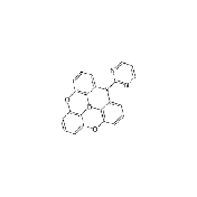 c1cnc(N2c3cccc4c3B3c5c(cccc5Oc5cccc2c53)O4)nc1